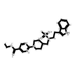 CCOC(=O)c1cnc(N2CCC(CN(CCc3c[nH]c4ccccc34)S(C)(=O)=O)CC2)nc1